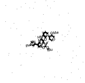 CO[C@H]1COCC[C@H]1n1cccc(Nc2cc(N(C)C(=O)OC(C)(C)C)n3ncc(-c4cn(C(C)C)nn4)c3n2)c1=O